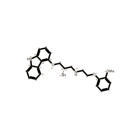 COc1ccccc1OCCNC[C@H](S)COc1cccc2[nH]c3ccccc3c12